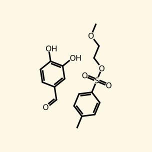 COCCOS(=O)(=O)c1ccc(C)cc1.O=Cc1ccc(O)c(O)c1